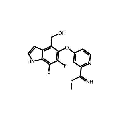 CSC(=N)c1cc(Oc2c(F)c(F)c3[nH]ccc3c2CO)ccn1